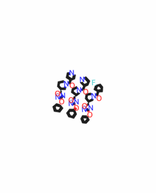 O=C(c1cccc(F)c1)N1CCC[C@H](c2nc(Oc3ccccc3)no2)C1.O=C(c1cccnc1)N1CCC[C@H](c2nc(Oc3ccccc3)no2)C1.O=C(c1ccncc1)N1CCC[C@H](c2nc(Oc3ccccc3)no2)C1